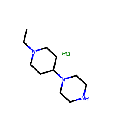 CCN1CCC(N2CCNCC2)CC1.Cl